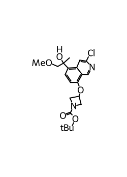 COCC(C)(O)c1ccc(OC2CN(C(=O)OC(C)(C)C)C2)c2cnc(Cl)cc12